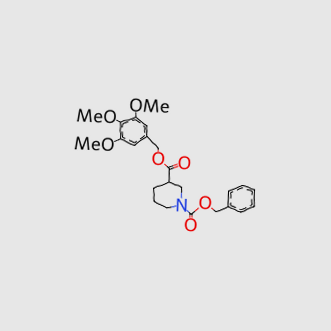 COc1cc(COC(=O)C2CCCN(C(=O)OCc3ccccc3)C2)cc(OC)c1OC